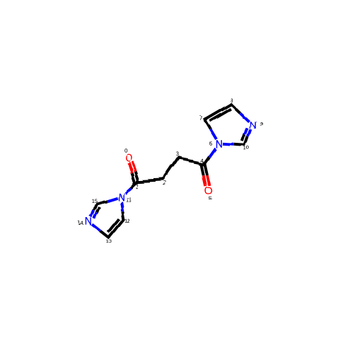 O=C(CCC(=O)n1ccnc1)n1ccnc1